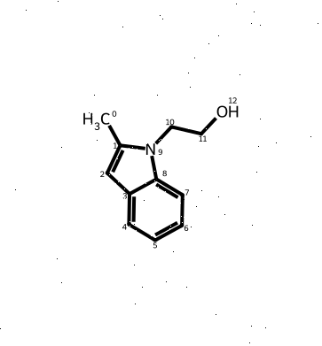 Cc1cc2ccccc2n1CCO